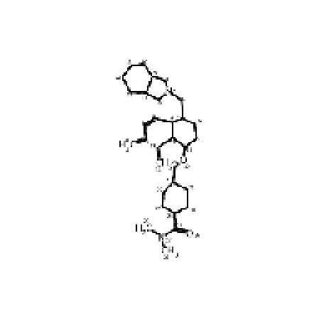 C=C/C=C\C1C(CN2CC3CCCCC3C2)CCC(OCC2CCC(C(=O)N(C)C)CC2)C1C=C